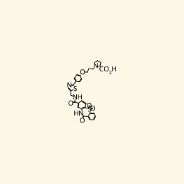 O=C(NCc1cnc(-c2ccc(OCCCN3CCC[C@@H]3C(=O)O)cc2)s1)c1ccc2c(c1)NC(=O)c1ccccc1S2(=O)=O